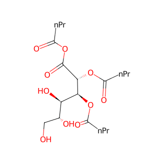 CCCC(=O)OC(=O)[C@H](OC(=O)CCC)[C@@H](OC(=O)CCC)[C@H](O)[C@H](O)CO